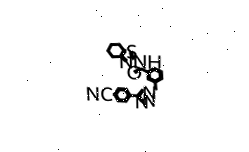 N#Cc1ccc(-c2cn(Cc3cccc(C(=O)Nc4nc5c(s4)CCCC5)c3)nn2)cc1